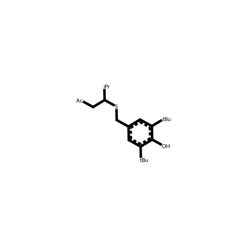 CC(=O)CC(SCc1cc(C(C)(C)C)c(O)c(C(C)(C)C)c1)C(C)C